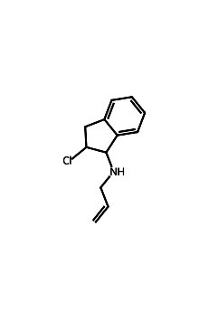 C=CCNC1c2ccccc2CC1Cl